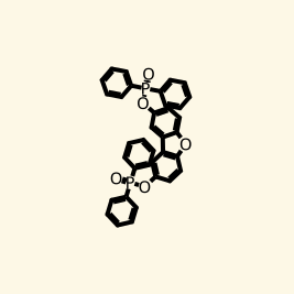 O=P(Oc1ccc2oc3ccc(OP(=O)(c4ccccc4)c4ccccc4)cc3c2c1)(c1ccccc1)c1ccccc1